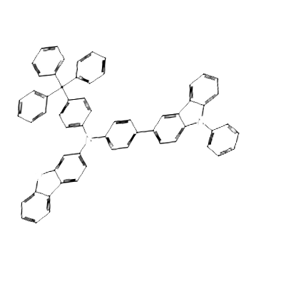 c1ccc(-n2c3ccccc3c3cc(-c4ccc(N(c5ccc(C(c6ccccc6)(c6ccccc6)c6ccccc6)cc5)c5ccc6c(c5)oc5ccccc56)cc4)ccc32)cc1